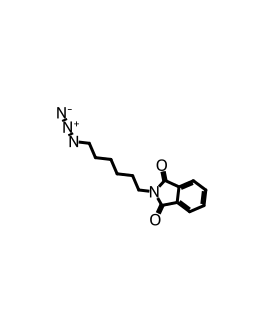 [N-]=[N+]=NCCCCCCN1C(=O)c2ccccc2C1=O